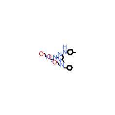 COCCOCCOCCN(Cc1ccccc1)Cc1cc(Nc2ccc(C)cc2)nc(N)n1